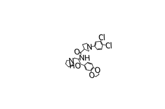 O=C(NC(CN1CCCC1)C(O)c1ccc2c(c1)OCCO2)C1CCN(c2ccc(Cl)c(Cl)c2)C1